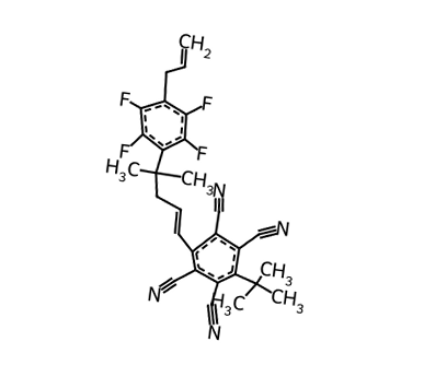 C=CCc1c(F)c(F)c(C(C)(C)C/C=C/c2c(C#N)c(C#N)c(C(C)(C)C)c(C#N)c2C#N)c(F)c1F